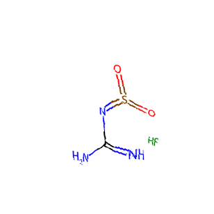 F.N=C(N)N=S(=O)=O